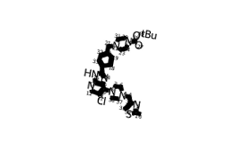 Cc1nc(CN2CCN(c3c(Cl)cnc4[nH]c(-c5ccc(CN6CCN(C(=O)OC(C)(C)C)CC6)cc5)nc34)CC2)cs1